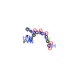 CC(C)n1cnc2cc(-c3ccc4c(c3)N(C3CC(N5CCCCC5)C3)C(=O)C43CCN(C(=O)C4(C)CCN(C(=O)C5CCN(c6ccc([C@H]7CCC(=O)NC7=O)cc6F)CC5)CC4)CC3)nc(NC3CC3)c21